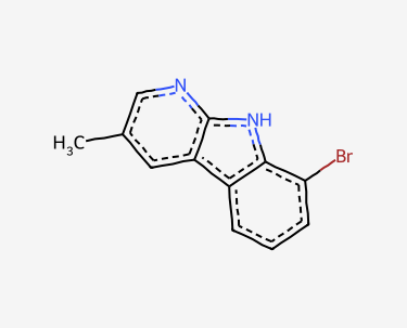 Cc1cnc2[nH]c3c(Br)cccc3c2c1